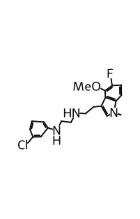 COc1c(F)ccc2c1c(CCNCCNc1cccc(Cl)c1)cn2C